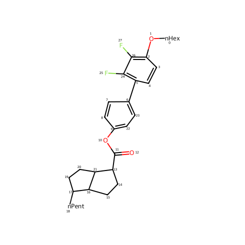 CCCCCCOc1ccc(-c2ccc(OC(=O)C3CCC4C(CCCCC)CCC34)cc2)c(F)c1F